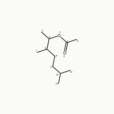 CC(=O)OC(C)C(C)CCC(C)C